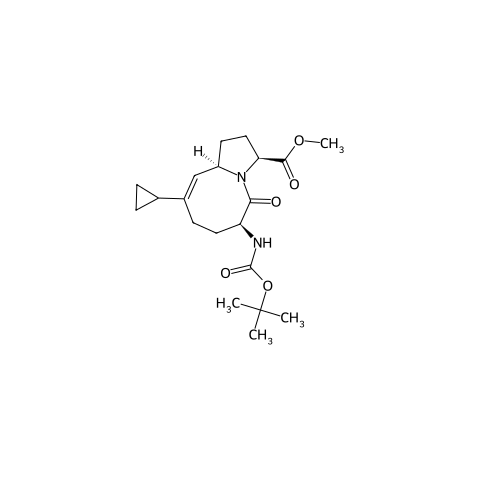 COC(=O)[C@@H]1CC[C@@H]2/C=C(/C3CC3)CC[C@H](NC(=O)OC(C)(C)C)C(=O)N21